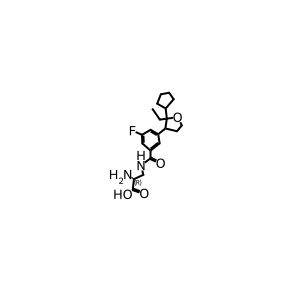 CCC1(C2CCCC2)OCCC1c1cc(F)cc(C(=O)NC[C@@H](N)C(=O)O)c1